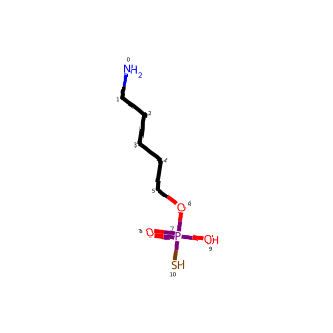 NCCCCCOP(=O)(O)S